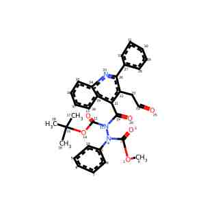 COC(=O)N(c1ccccc1)N(C(=O)OC(C)(C)C)C(=O)c1c(CC=O)c(-c2ccccc2)nc2ccccc12